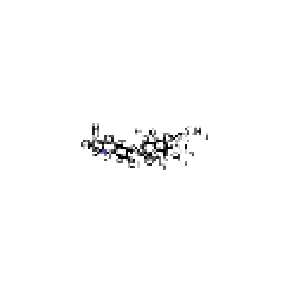 C/C=C/COc1c(C)c(C)c2c(c1C)CCC(C)(COc1ccc(/C=C3/SC(=O)NC3=O)cc1Br)O2